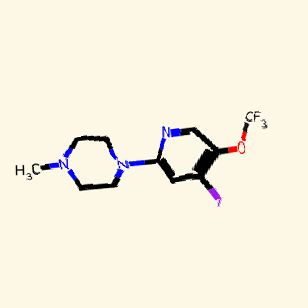 CN1CCN(c2cc(I)c(OC(F)(F)F)cn2)CC1